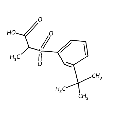 CC(C(=O)O)S(=O)(=O)c1cccc(C(C)(C)C)c1